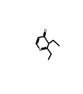 CCC1=NC=CC(=O)C1CC